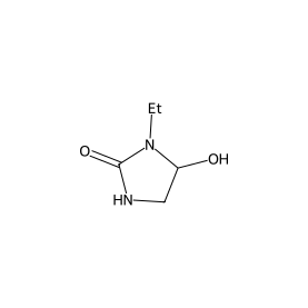 CCN1C(=O)NCC1O